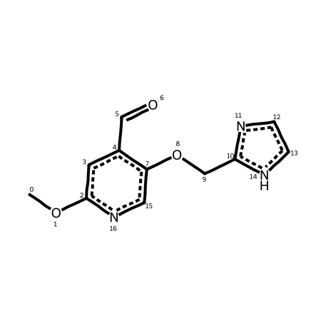 COc1cc(C=O)c(OCc2ncc[nH]2)cn1